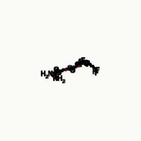 Nc1cc(N)cc(C(=O)OCCCCCCOC(=O)/C=C/c2ccc(OC(F)(F)c3ccc(CCCCCC(F)(F)F)cc3)cc2)c1